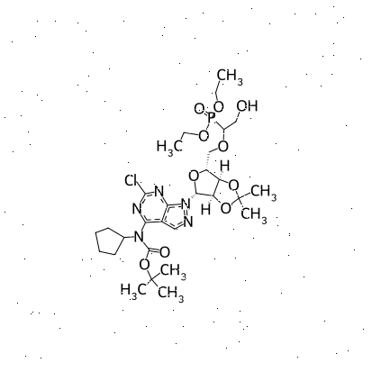 CCOP(=O)(OCC)C(CO)OC[C@H]1O[C@@H](n2ncc3c(N(C(=O)OC(C)(C)C)C4CCCC4)nc(Cl)nc32)[C@@H]2OC(C)(C)O[C@@H]21